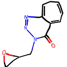 O=c1c2ccccc2nnn1CC1CO1